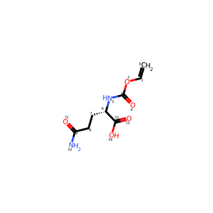 C=COC(=O)N[C@@H](CCC(N)=O)C(=O)O